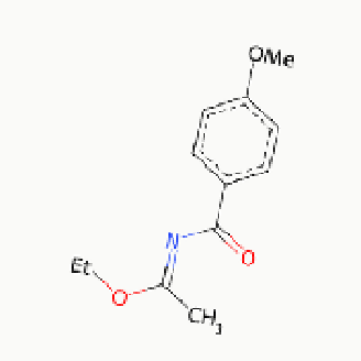 CCO/C(C)=N/C(=O)c1ccc(OC)cc1